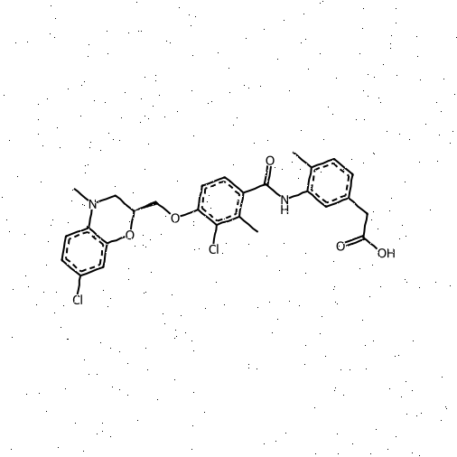 Cc1ccc(CC(=O)O)cc1NC(=O)c1ccc(OC[C@@H]2CN(C)c3ccc(Cl)cc3O2)c(Cl)c1C